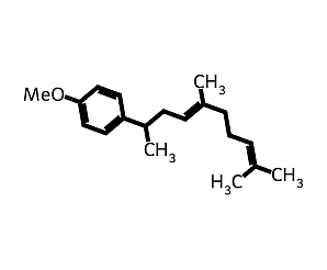 COc1ccc(C(C)C/C=C(\C)CCC=C(C)C)cc1